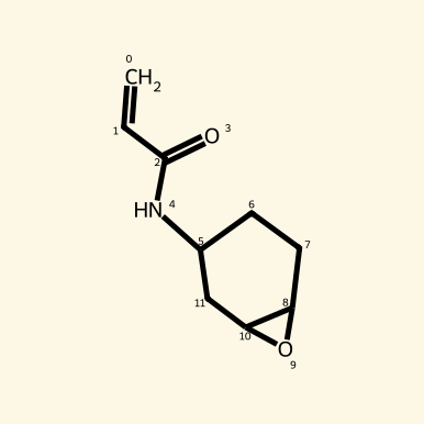 C=CC(=O)NC1CCC2OC2C1